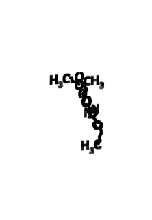 CCCCc1ccc(-c2cnc(-c3ccc(OCC(C)OC(=O)CCC)cc3)nc2)cc1